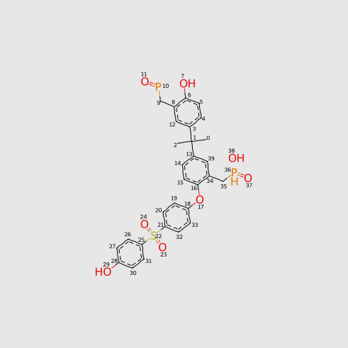 CC(C)(c1ccc(O)c(CP=O)c1)c1ccc(Oc2ccc(S(=O)(=O)c3ccc(O)cc3)cc2)c(C[PH](=O)O)c1